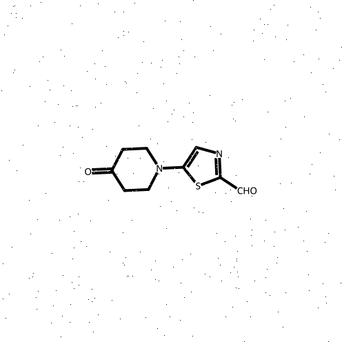 O=Cc1ncc(N2CCC(=O)CC2)s1